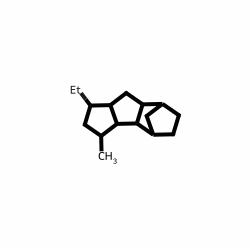 CCC1CC(C)C2C1CC1C3CCC(C3)C12